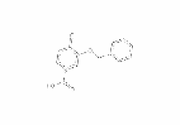 O=C(O)n1ccc(=O)c(OCc2ccccc2)c1